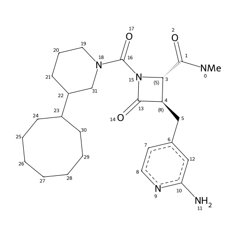 CNC(=O)[C@@H]1[C@@H](Cc2ccnc(N)c2)C(=O)N1C(=O)N1CCCC(C2CCCCCCC2)C1